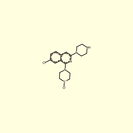 [O-][S+]1CCN(c2nc(N3CCNCC3)cc3ccc(Cl)cc23)CC1